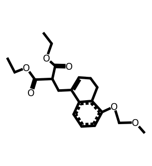 CCOC(=O)C(CC1=CCCc2c(OCOC)cccc21)C(=O)OCC